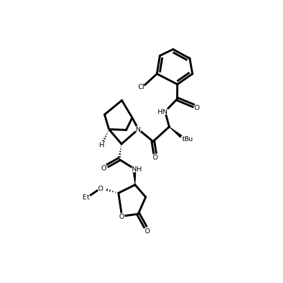 CCO[C@H]1OC(=O)C[C@@H]1NC(=O)[C@@H]1[C@H]2CCC(C2)N1C(=O)[C@@H](NC(=O)c1ccccc1Cl)C(C)(C)C